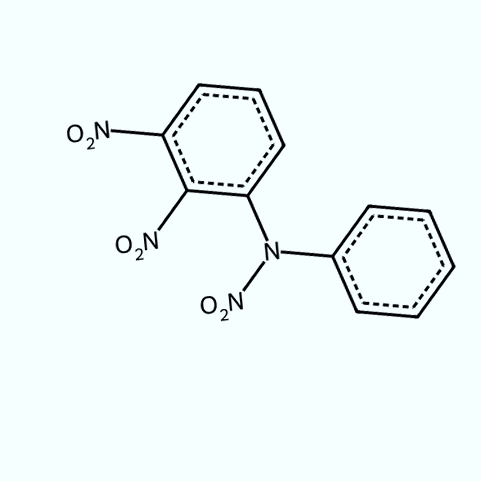 O=[N+]([O-])c1cccc(N(c2ccccc2)[N+](=O)[O-])c1[N+](=O)[O-]